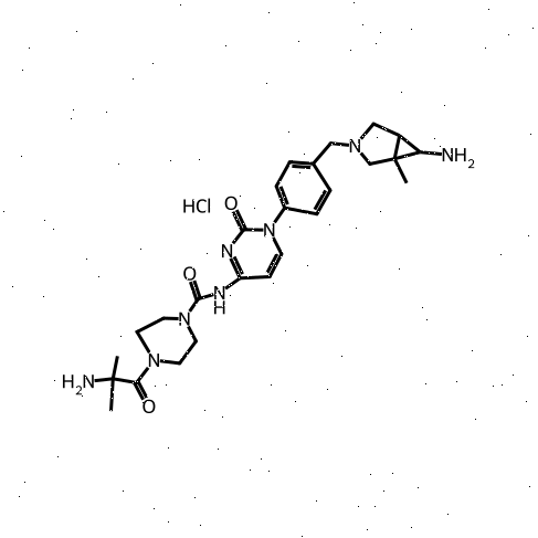 CC(C)(N)C(=O)N1CCN(C(=O)Nc2ccn(-c3ccc(CN4CC5C(N)C5(C)C4)cc3)c(=O)n2)CC1.Cl